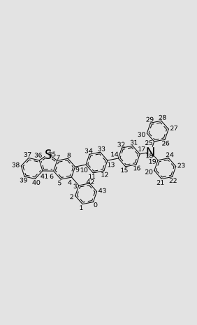 c1ccc(-c2cc3c(cc2-c2ccc(-c4ccc(N(c5ccccc5)c5ccccc5)cc4)cc2)sc2ccccc23)cc1